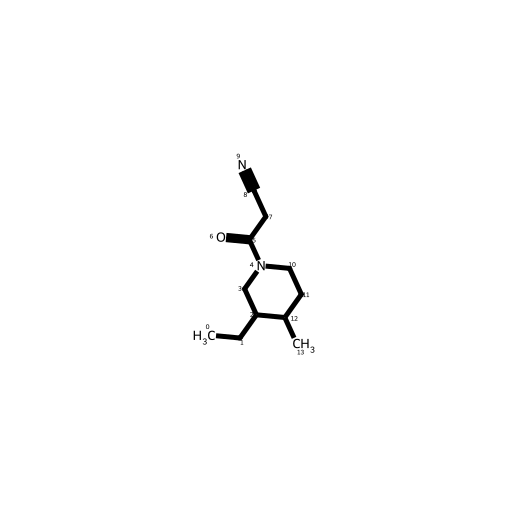 CCC1CN(C(=O)CC#N)CCC1C